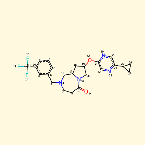 O=C1CCN(Cc2cccc(C(F)(F)F)c2)CC2CC(Oc3cnc(C4CC4)cn3)CN12